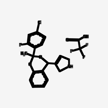 CC1(c2ccc(Cl)cc2F)Oc2ccccc2C(C2=CCNC2)O1.O=C(O)C(F)(F)F